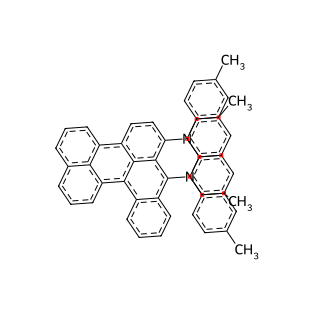 Cc1ccc(N(c2ccc(C)cc2)c2ccc3c4cccc5cccc(c54)c4c5ccccc5c(N(c5ccc(C)cc5)c5ccc(C)cc5)c2c34)cc1